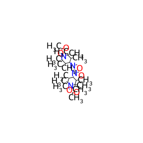 CC(=O)ON1C(C)(C)C(C)C(N(C=O)CN(C=O)C2C(C)C(C)(C)N(OC(C)=O)C(C)(C)C2C)C(C)C1(C)C